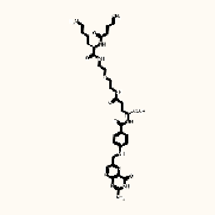 C=CCCC(=O)N[C@H](CCCCN)C(=O)NCCOCCNC(=O)CC[C@@H](NC(=O)c1ccc(NCc2cnc3nc(N)[nH]c(=O)c3n2)cc1)C(=O)O